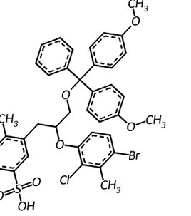 COc1ccc(C(OCC(Cc2cc(S(=O)(=O)O)ccc2C)Oc2ccc(Br)c(C)c2Cl)(c2ccccc2)c2ccc(OC)cc2)cc1